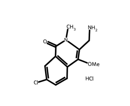 COc1c(CN)n(C)c(=O)c2cc(Cl)ccc12.Cl